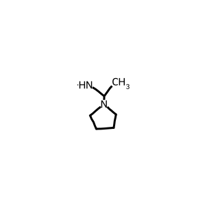 CC([NH])N1CCCC1